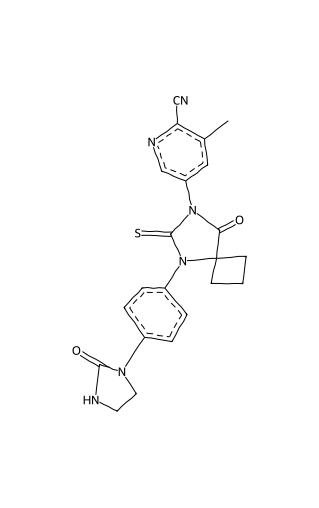 Cc1cc(N2C(=O)C3(CCC3)N(c3ccc(N4CCNC4=O)cc3)C2=S)cnc1C#N